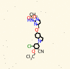 CS(=O)(=O)Nc1nccc(COc2ccc3c(ccn3-c3cc(Cl)c(OCC(Cl)(Cl)Cl)c(C#N)c3)c2)n1